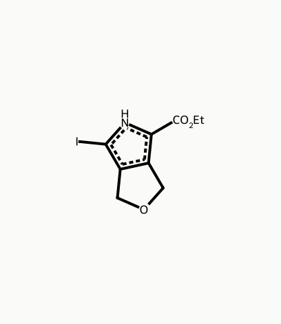 CCOC(=O)c1[nH]c(I)c2c1COC2